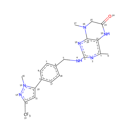 Cc1nc(NCc2ccc(-c3cc(C(F)(F)F)nn3C)cc2)nc2c1NC(=O)CN2C